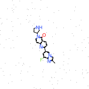 Cc1cn2cc(-c3ccc4c(=O)n(C5CCNC5)ccc4n3)cc(F)c2n1